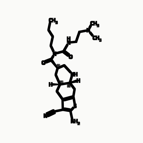 CCCCN(C(=O)NCCN(C)C)C(=O)[C@H]1CN[C@@H]2Cc3sc(N)c(C#N)c3C[C@H]2C1